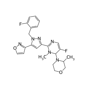 CC1COCCN1C1C(F)=CN=C(c2cc(-c3ccon3)n(Cc3ccccc3F)n2)N1C